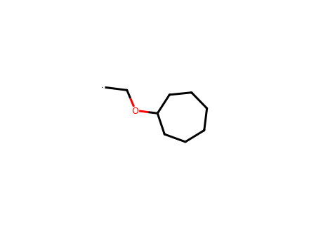 [CH2]COC1CCCCCC1